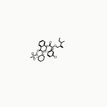 C=C(CONC(=O)[C@@H]1c2ccccc2C(=O)N([C@H]2CCCC[C@@H]2N(C)S(C)(=O)=O)[C@H]1c1ccc(Cl)cc1Cl)C(C)CC